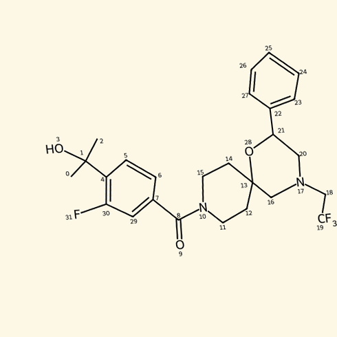 CC(C)(O)c1ccc(C(=O)N2CCC3(CC2)CN(CC(F)(F)F)CC(c2ccccc2)O3)cc1F